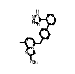 CCCCc1cn2c(Cc3ccc(-c4ccccc4-c4nnn[nH]4)cc3)ccc(C)c2n1